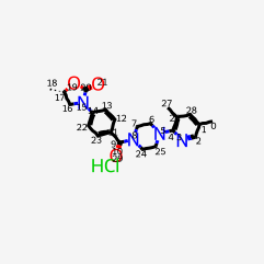 Cc1cnc(N2CCN(C(=O)c3ccc(N4C[C@H](C)OC4=O)cc3)CC2)c(C)c1.Cl